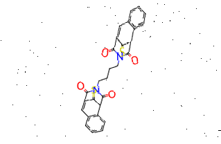 O=C1C2=Cc3ccccc3C(C(=O)N1CCCCN1C(=O)C3=Cc4ccccc4C(C1=O)C3=S)C2=S